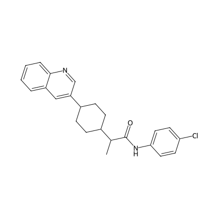 CC(C(=O)Nc1ccc(Cl)cc1)C1CCC(c2cnc3ccccc3c2)CC1